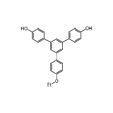 CCOc1ccc(-c2cc(-c3ccc(O)cc3)cc(-c3ccc(O)cc3)c2)cc1